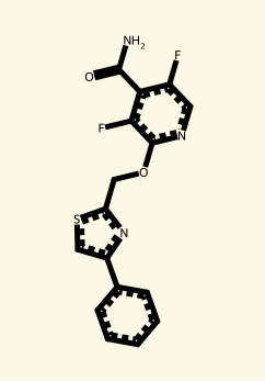 NC(=O)c1c(F)cnc(OCc2nc(-c3ccccc3)cs2)c1F